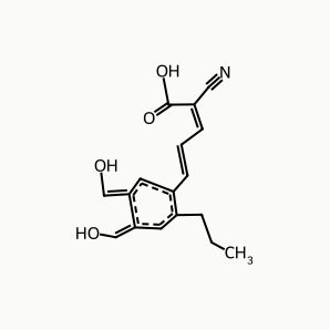 CCCc1cc(=CO)c(=CO)cc1C=CC=C(C#N)C(=O)O